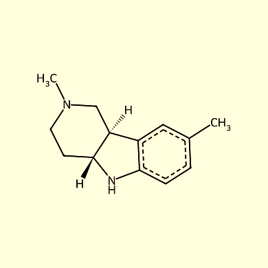 Cc1ccc2c(c1)[C@@H]1CN(C)CC[C@H]1N2